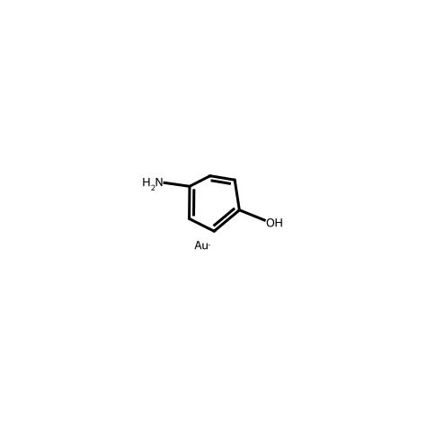 Nc1ccc(O)cc1.[Au]